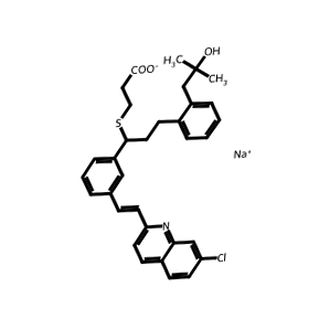 CC(C)(O)Cc1ccccc1CCC(SCCC(=O)[O-])c1cccc(/C=C/c2ccc3ccc(Cl)cc3n2)c1.[Na+]